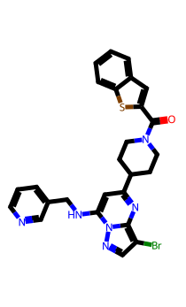 O=C(c1cc2ccccc2s1)N1CCC(c2cc(NCc3cccnc3)n3ncc(Br)c3n2)CC1